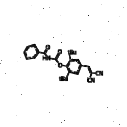 CC(C)(C)c1cc(C=C(C#N)C#N)cc(C(C)(C)C)c1OC(=O)NC(=O)c1ccccc1